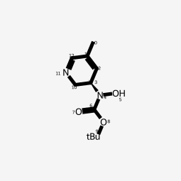 CC1=C[C@@H](N(O)C(=O)OC(C)(C)C)CN=C1